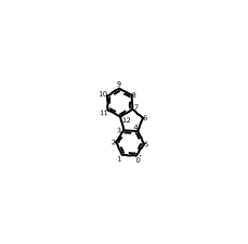 [c]1ccc2c(c1)Cc1ccccc1-2